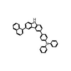 c1ccc(N(c2ccccc2)c2ccc(-c3ccc4[nH]c5ccc(-c6cccc7ccccc67)cc5c4c3)cc2)cc1